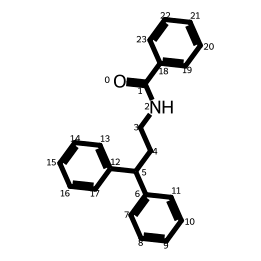 O=C(NCCC(c1ccccc1)c1ccccc1)c1ccccc1